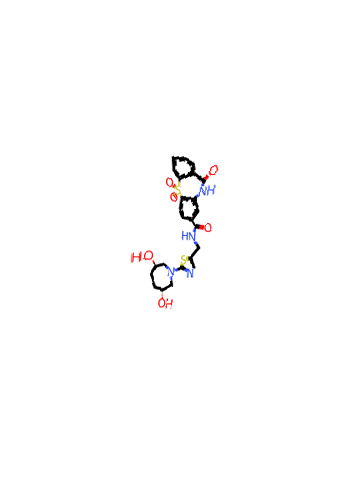 O=C(NCc1cnc(N2C[C@H](O)CC[C@@H](O)C2)s1)c1ccc2c(c1)NC(=O)c1ccccc1S2(=O)=O